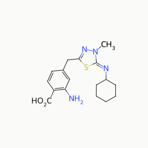 Cn1nc(Cc2ccc(C(=O)O)c(N)c2)sc1=NC1CCCCC1